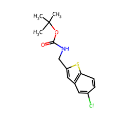 CC(C)(C)OC(=O)NCc1cc2cc(Cl)ccc2s1